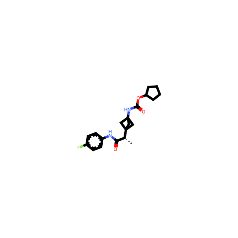 C[C@H](C(=O)Nc1ccc(F)cc1)C12CC(NC(=O)OC3CCCC3)(C1)C2